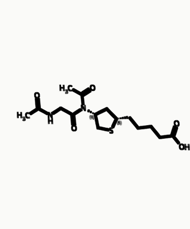 CC(=O)NCC(=O)N(C(C)=O)[C@H]1CS[C@@H](CCCCC(=O)O)C1